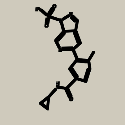 Cc1ccc(C(=O)NC2CC2)cc1-c1cc2cnn(S(=O)(=O)C(C)C)c2cn1